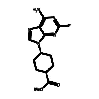 COC(=O)[C@H]1CC[C@@H](n2cnc3c(N)nc(F)nc32)CC1